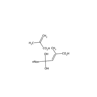 C=C(C)C(=O)O.CCCCCCCCCC(O)(O)C=C(C)C(=O)O